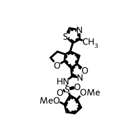 COc1cccc(OC)c1S(=O)(=O)Nc1noc2cc(-c3scnc3C)c3c(c12)OCC3